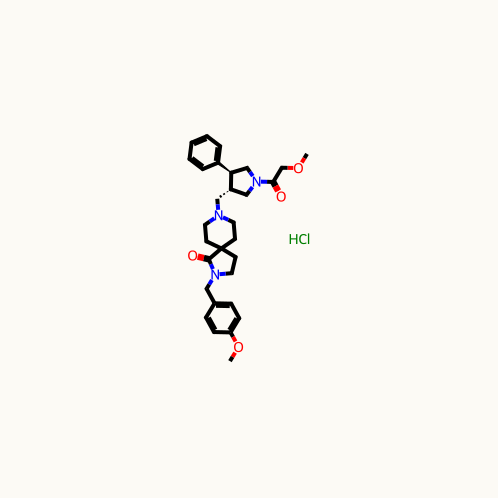 COCC(=O)N1C[C@H](CN2CCC3(CC2)CCN(Cc2ccc(OC)cc2)C3=O)[C@@H](c2ccccc2)C1.Cl